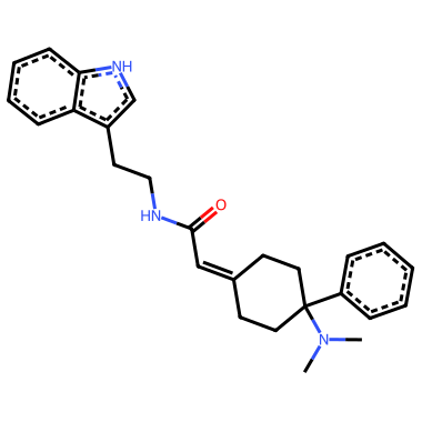 CN(C)C1(c2ccccc2)CCC(=CC(=O)NCCc2c[nH]c3ccccc23)CC1